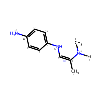 CCN(C)/C(C)=C\Nc1ccc(N)cc1